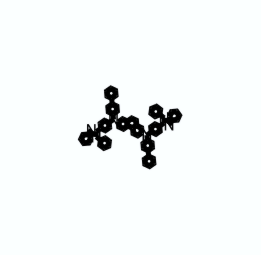 c1ccc(-c2ccc(N(c3ccc(-c4nc5ccccc5n4-c4ccccc4)cc3)c3ccc4c(ccc5cc(N(c6ccc(-c7ccccc7)cc6)c6ccc(-c7nc8ccccc8n7-c7ccccc7)cc6)ccc54)c3)cc2)cc1